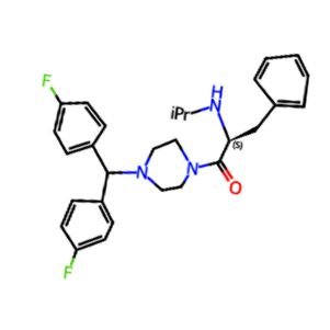 CC(C)N[C@@H](Cc1ccccc1)C(=O)N1CCN(C(c2ccc(F)cc2)c2ccc(F)cc2)CC1